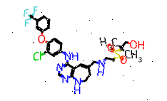 CC(C)(CO)S(=O)(=O)CCNCC1=Cc2c(ncnc2Nc2ccc(Oc3cccc(C(F)(F)F)c3)c(Cl)c2)NCC1